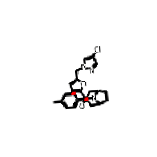 Cc1ccc(C2CC3CCC(C2)N3C(=O)c2ccc(Cn3cc(Cl)cn3)o2)cc1